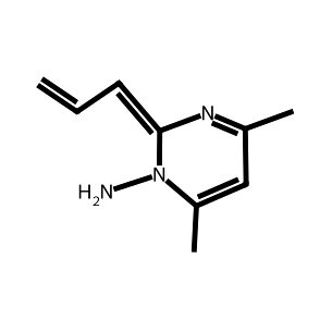 C=C/C=C1/N=C(C)C=C(C)N1N